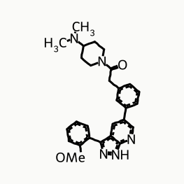 COc1ccccc1-c1n[nH]c2ncc(-c3cccc(CC(=O)N4CCC(N(C)C)CC4)c3)cc12